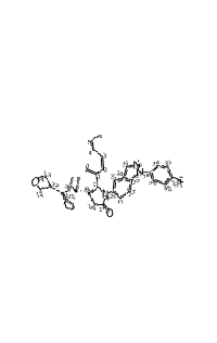 C=C(/C=C\C=C/C)[C@@H]1[C@@H](NC(=O)C2COC2)CC(=O)N1c1ccc2c(cnn2-c2ccc(F)cc2)c1